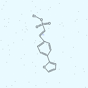 CCOS(=O)(=O)/C=C/c1ccc(-c2ccco2)cc1